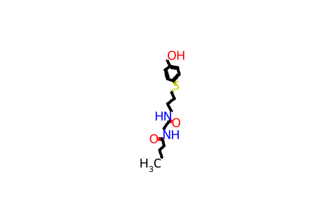 CCCCC(=O)NCC(=O)NCCCCSc1ccc(CO)cc1